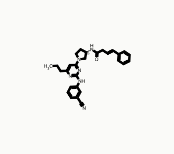 CCCc1cc(N2CC[C@H](NC(=O)CC=Cc3ccccc3)C2)nc(Nc2cccc(C#N)c2)n1